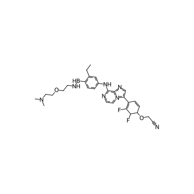 CCc1cc(Nc2nccn3c(C4=C(F)C(F)C(OCC#N)C=C4)cnc23)ccc1BNCCOCCN(C)C